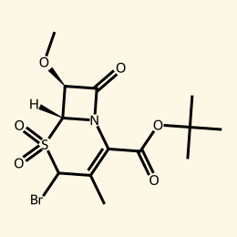 CO[C@H]1C(=O)N2C(C(=O)OC(C)(C)C)=C(C)C(Br)S(=O)(=O)[C@H]12